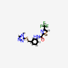 Cn1cnnc1SCc1cccc(NC(=O)c2nc(C(F)(F)F)cs2)c1